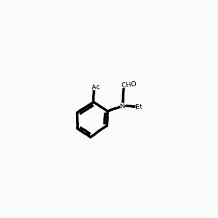 CCN(C=O)c1ccccc1C(C)=O